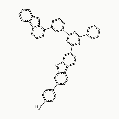 Cc1ccc(-c2ccc3c(c2)oc2cc(-c4nc(-c5ccccc5)nc(-c5cccc(-c6cccc7c6sc6ccccc67)c5)n4)ccc23)cc1